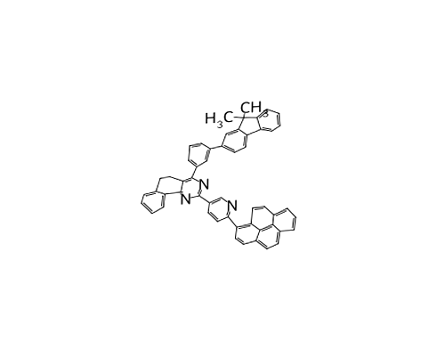 CC1(C)c2ccccc2-c2ccc(-c3cccc(-c4nc(-c5ccc(-c6ccc7ccc8cccc9ccc6c7c89)nc5)nc5c4CCc4ccccc4-5)c3)cc21